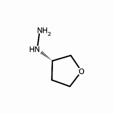 NN[C@H]1CCOC1